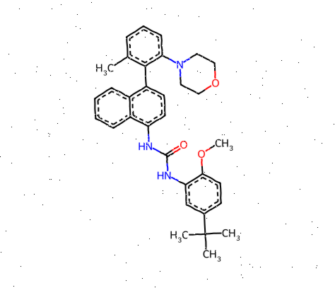 COc1ccc(C(C)(C)C)cc1NC(=O)Nc1ccc(-c2c(C)cccc2N2CCOCC2)c2ccccc12